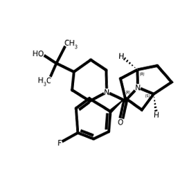 CC(C)(O)C1CCN(C(=O)N2[C@@H]3CC[C@H]2C[C@@H](c2ccc(F)cc2)C3)CC1